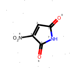 O=C1C=C([N+](=O)[O-])C(=O)N1